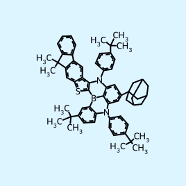 CC(C)(C)c1ccc(N2c3ccc(C(C)(C)C)cc3B3c4sc5cc6c(cc5c4N(c4ccc(C(C)(C)C)cc4)c4cc(C57CC8CC(CC(C8)C5)C7)cc2c43)-c2ccccc2C6(C)C)cc1